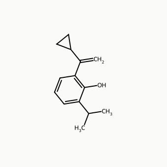 C=C(c1cccc(C(C)C)c1O)C1CC1